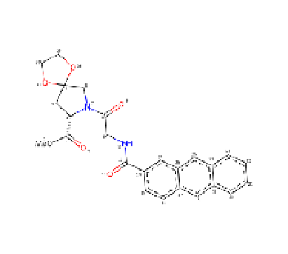 COC(=O)[C@@H]1CC2(CN1C(=O)CNC(=O)c1ccc3cc4ccccc4cc3c1)OCCO2